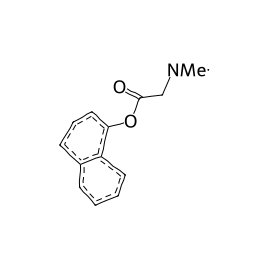 C[N]CC(=O)Oc1cccc2ccccc12